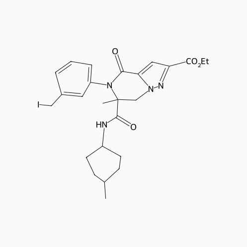 CCOC(=O)c1cc2n(n1)CC(C)(C(=O)NC1CCC(C)CC1)N(c1cccc(CI)c1)C2=O